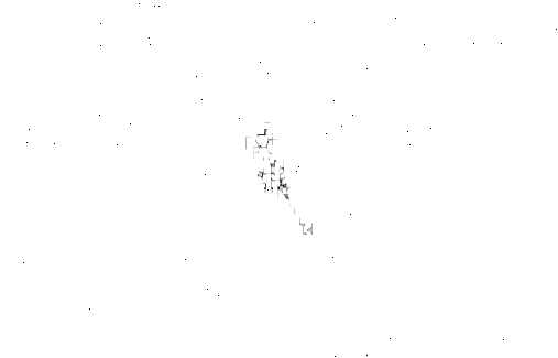 Cc1c(F)c(F)c(COc2nsc(NC(=O)NCCCCCCN(C)C)c2C(N)=O)c(F)c1F